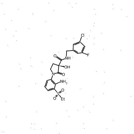 CCS(=O)(=O)c1cccc(N2CC[C@](O)(C(=O)NCc3cc(F)cc(Cl)c3)C2=O)c1N